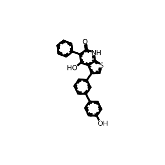 O=c1[nH]c2scc(-c3cccc(-c4ccc(O)cc4)c3)c2c(O)c1-c1ccccc1